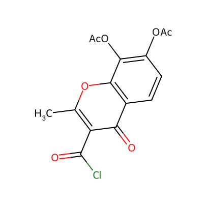 CC(=O)Oc1ccc2c(=O)c(C(=O)Cl)c(C)oc2c1OC(C)=O